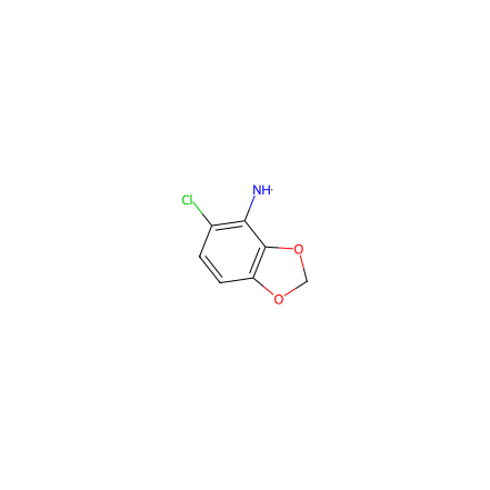 [NH]c1c(Cl)ccc2c1OCO2